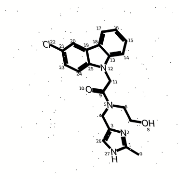 Cc1nc(CN(CCO)C(=O)Cn2c3ccccc3c3cc(Cl)ccc32)c[nH]1